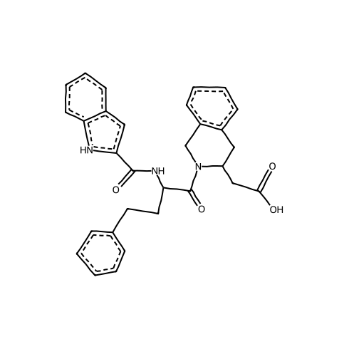 O=C(O)CC1Cc2ccccc2CN1C(=O)C(CCc1ccccc1)NC(=O)c1cc2ccccc2[nH]1